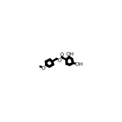 COc1ccc(COC(=O)c2ccc(O)cc2O)cc1